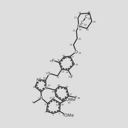 COc1ccc(N(C)c2cnc(SCc3c(F)cc(OCCC[N+]45CCC(CC4)CC5)cc3F)n2-c2ccc(F)cc2)cc1OC